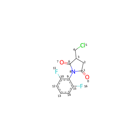 O=C1CC(CCl)C(=O)N1c1c(F)cccc1F